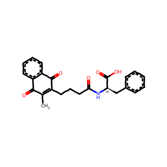 CC1=C(CCCC(=O)N[C@H](Cc2ccccc2)C(=O)O)C(=O)c2ccccc2C1=O